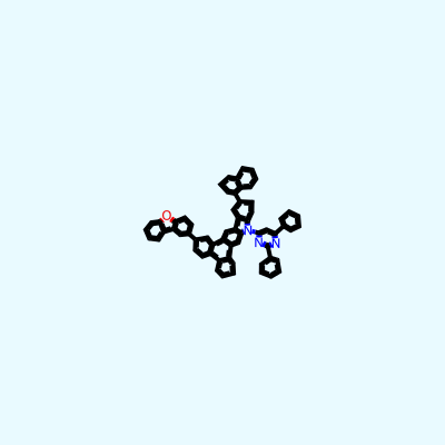 c1ccc(-c2cc(-n3c4ccc(-c5cccc6ccccc56)cc4c4cc5c6cc(-c7ccc8oc9ccccc9c8c7)ccc6c6ccccc6c5cc43)nc(-c3ccccc3)n2)cc1